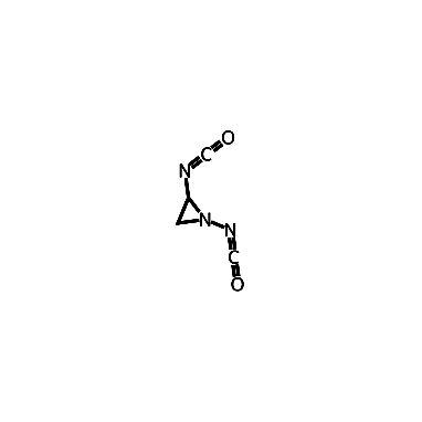 O=C=NC1CN1N=C=O